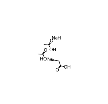 CC(=O)O.CC(=O)O.N#CCC(=O)O.[NaH]